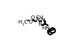 CCOC(=O)CN(C)c1ncc(CNC23CC4CC(CC(C4)C2)C3)cn1